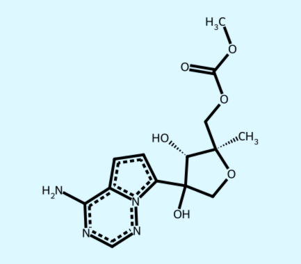 COC(=O)OC[C@@]1(C)OCC(O)(c2ccc3c(N)ncnn23)[C@@H]1O